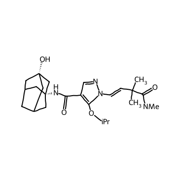 CNC(=O)C(C)(C)/C=C/n1ncc(C(=O)N[C@]23CC4CC(C[C@@](O)(C4)C2)C3)c1OC(C)C